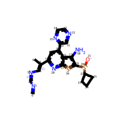 C=N/C=N\C=C(/C)c1cc(-c2cnccn2)c2c(N)c([S+]([O-])C3CCC3)sc2n1